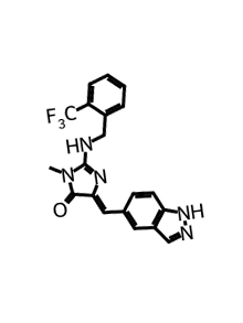 CN1C(=O)/C(=C/c2ccc3[nH]ncc3c2)N=C1NCc1ccccc1C(F)(F)F